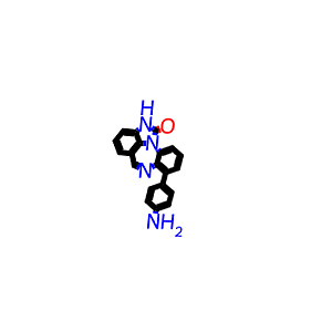 Nc1ccc(-c2cccc3c2N=Cc2cccc4[nH]c(=O)n-3c24)cc1